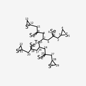 [Se]=C(CC1CS1)CC(CC(=[Se])CC1CS1)[Te]C(CC(=[Se])CC1CS1)CC(=[Se])CC1CS1